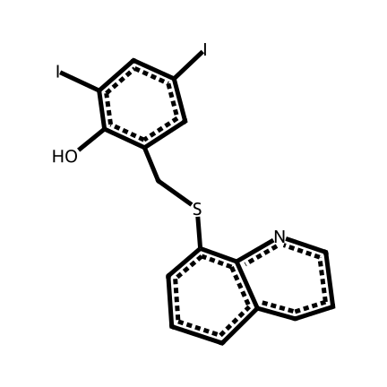 Oc1c(I)cc(I)cc1CSc1cccc2cccnc12